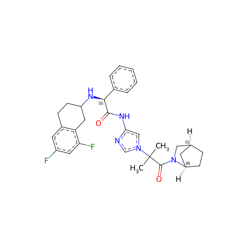 CC(C)(C(=O)N1C[C@H]2CC[C@@H]1C2)n1cnc(NC(=O)[C@@H](NC2CCc3cc(F)cc(F)c3C2)c2ccccc2)c1